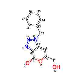 O=c1oc(CO)cc2c1nnn2Cc1ccccc1